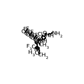 C=C(C)Cn1cc(-c2cnc(C(=O)Nc3ccc(C(=O)NCCCN)c(Cl)c3)n2C)c(C(F)(F)F)n1.O=C(O)C(F)(F)F.O=C(O)C(F)(F)F.O=C(O)C(F)(F)F